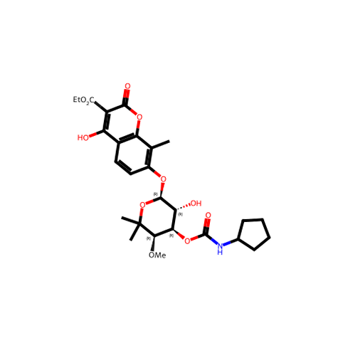 CCOC(=O)c1c(O)c2ccc(O[C@@H]3OC(C)(C)[C@H](OC)[C@H](OC(=O)NC4CCCC4)[C@H]3O)c(C)c2oc1=O